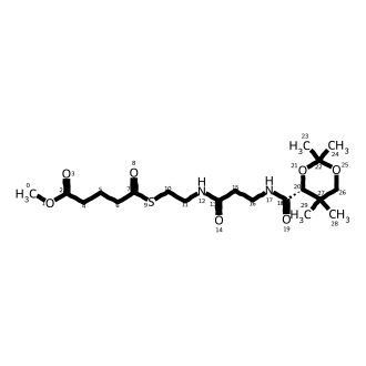 COC(=O)CCCC(=O)SCCNC(=O)CCNC(=O)[C@@H]1OC(C)(C)OCC1(C)C